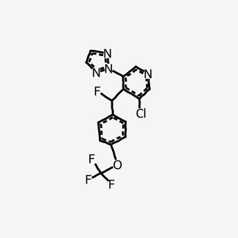 FC(c1ccc(OC(F)(F)F)cc1)c1c(Cl)cncc1-n1nccn1